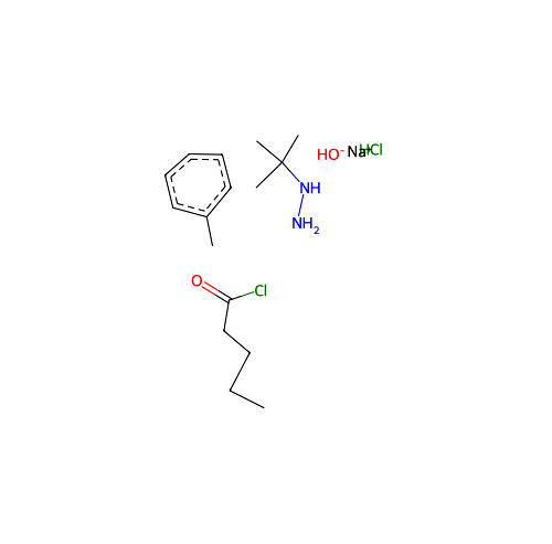 CC(C)(C)NN.CCCCC(=O)Cl.Cc1ccccc1.Cl.[Na+].[OH-]